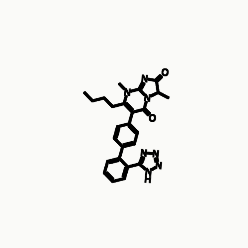 CCCCC1=C(c2ccc(-c3ccccc3-c3nnn[nH]3)cc2)C(=O)N2C(=NC(=O)C2C)N1C